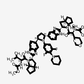 COC(=O)N[C@H](C(=O)N1[C@H](c2nc3cc([C@H]4CC[C@H](c5ccc6[nH]c([C@@H]7C[C@@H]8CCC[C@@H]8N7C(=O)[C@H](C7CCOCC7)N(C)C(=O)O)nc6c5)N4c4cc(F)c(N5CCCCC5)c(F)c4)ccc3[nH]2)C[C@@H]2CCC[C@@H]21)C(C)C